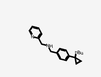 CCCCC1(c2ccc(CNCc3ccccn3)cc2)CC1